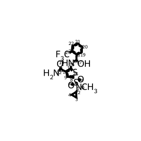 CN(C1CC1)S(=O)(=O)c1cc(C(N)=O)c(NC(O)c2ccccc2C(F)(F)F)s1